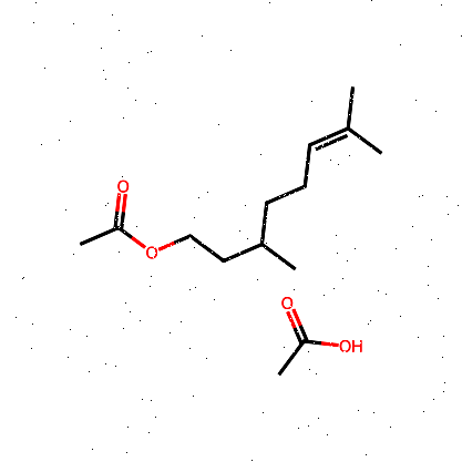 CC(=O)O.CC(=O)OCCC(C)CCC=C(C)C